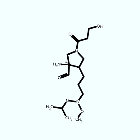 COB(CCCC1CN(C(=O)CCO)C[C@@]1(N)C=O)OC(C)C